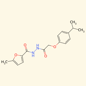 Cc1ccc(C(=O)NNC(=O)COc2ccc(C(C)C)cc2)o1